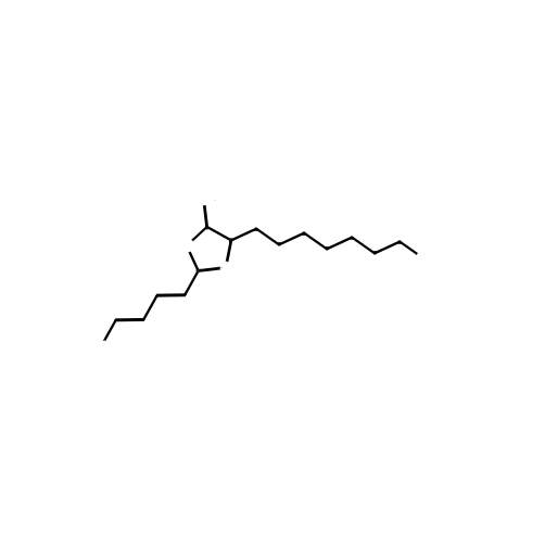 CCCCCCCCC1OC(CCCCCl)OC1CCCCCCCC(=O)OCC